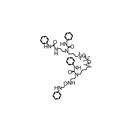 C[Si](C)(CCCN(CCNOCNc1ccccc1)C(=O)Nc1ccccc1)O[Si](C)(C)O[Si](C)(C)CCCN(CCNC(=O)Nc1ccccc1)C(=O)Nc1ccccc1